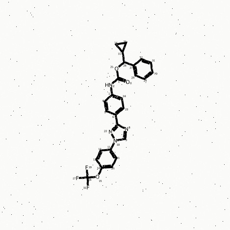 O=C(Nc1ccc(-c2ncn(-c3ccc(OC(F)(F)F)cc3)n2)cc1)OC(c1ccccc1)C1CC1